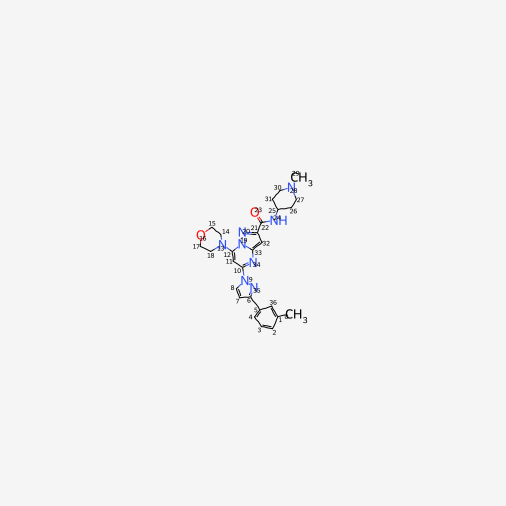 Cc1cccc(-c2ccn(-c3cc(N4CCOCC4)n4nc(C(=O)NC5CCN(C)CC5)cc4n3)n2)c1